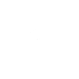 CP(=O)(O)COCc1ccccc1